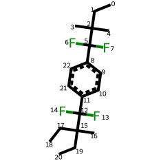 CCC(C)(C)C(F)(F)c1ccc(C(F)(F)C(C)(CC)CC)cc1